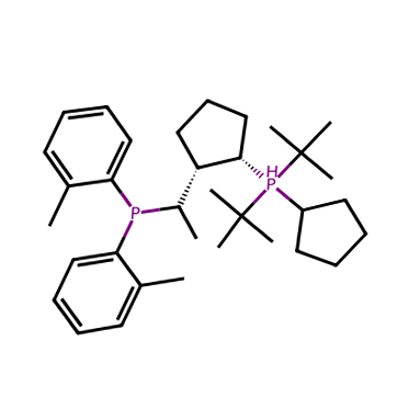 Cc1ccccc1P(c1ccccc1C)C(C)[C@@H]1CCC[C@@H]1[PH](C1CCCC1)(C(C)(C)C)C(C)(C)C